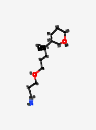 C[SiH](CCCOCCC#N)C1CCCOC1